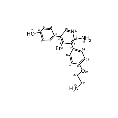 CCc1c(-c2ccc(O)cc2)cnc(N)c1-c1ccc(OCCN)cc1